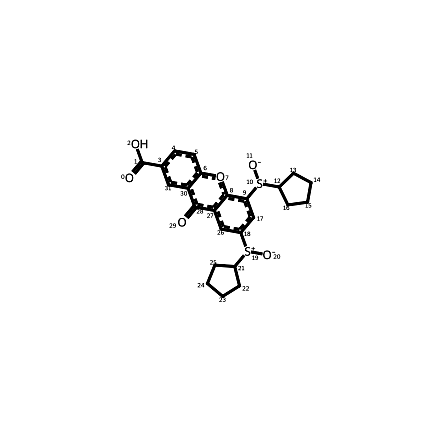 O=C(O)c1ccc2oc3c([S+]([O-])C4CCCC4)cc([S+]([O-])C4CCCC4)cc3c(=O)c2c1